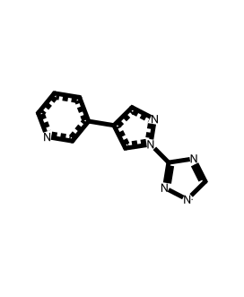 C1=NC(n2cc(-c3cccnc3)cn2)=N[N]1